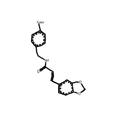 COc1ccc(CNC(=O)C=Cc2ccc3c(c2)OCO3)cc1